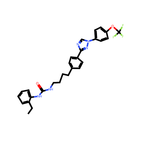 CCc1ccccc1NC(=O)NCCCCc1ccc(-c2ncn(-c3ccc(OC(F)(F)F)cc3)n2)cc1